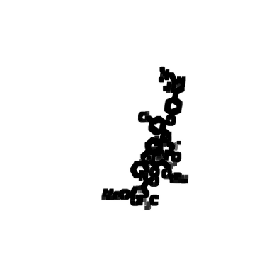 COC(=O)C[C@@H](CC(F)(F)F)C(=O)N1CCC[C@](Cc2ccc(Cl)cc2)(NC(=O)[C@@H](NC(=O)[C@@H](C)NCc2ccc(Cl)cc2Oc2ccc(-c3cnc(CN(C)C)n3C)cc2)[C@H](C)OC(C)(C)C)C1